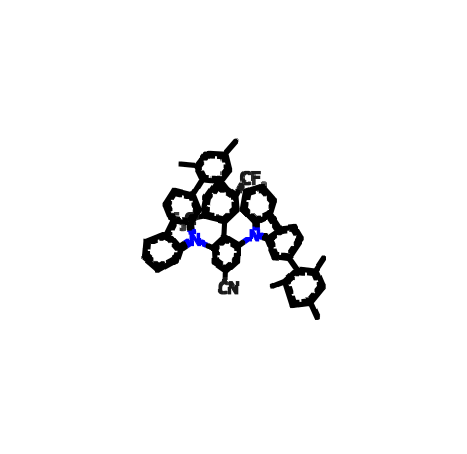 Cc1cc(C)c(-c2ccc3c4ccccc4n(-c4cc(C#N)cc(-n5c6ccccc6c6ccc(-c7c(C)cc(C)cc7C)cc65)c4-c4cc(C(F)(F)F)ccc4C(F)(F)F)c3c2)c(C)c1